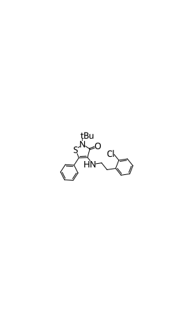 CC(C)(C)n1sc(-c2ccccc2)c(NCCc2ccccc2Cl)c1=O